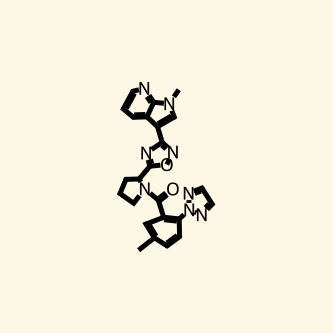 Cc1ccc(-n2nccn2)c(C(=O)N2CCCC2c2nc(-c3cn(C)c4ncccc34)no2)c1